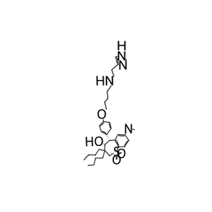 CCCCC1(CCCC)CS(=O)(=O)c2ccc(N(C)C)cc2[C@@H](c2ccc(OCCCCCNCCc3c[nH]cn3)cc2)[C@H]1O